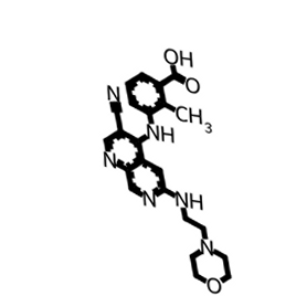 Cc1c(Nc2c(C#N)cnc3cnc(NCCN4CCOCC4)cc23)cccc1C(=O)O